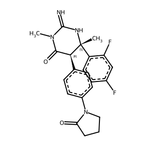 CN1C(=N)N[C@](C)(c2ccc(F)cc2F)[C@@H](c2ccc(N3CCCC3=O)cc2)C1=O